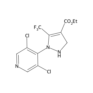 CCOC(=O)C1=C(C(F)(F)F)N(c2c(Cl)cncc2Cl)NC1